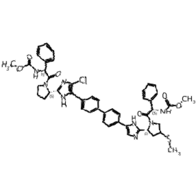 COC(=O)N[C@H](C(=O)N1CC(SC)C[C@H]1c1ncc(-c2ccc(-c3ccc(-c4[nH]c([C@@H]5CCCN5C(=O)[C@@H](NC(=O)OC)c5ccccc5)nc4Cl)cc3)cc2)[nH]1)c1ccccc1